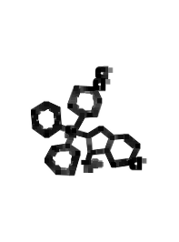 [Cl-].[Cl-].[Cl-].[Ti+3][CH]1C2C=CC=CC2CC1[Si](c1ccccc1)(c1ccccc1)c1ccccc1